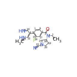 CCN(C(=O)c1ccc(/C(C=N)=C/NC)c(F)c1)[C@@H]1CCN(C#N)C1